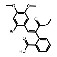 COC(=O)/C(=C\c1cc(OC)c(OC)cc1Br)c1ccccc1C(=O)O